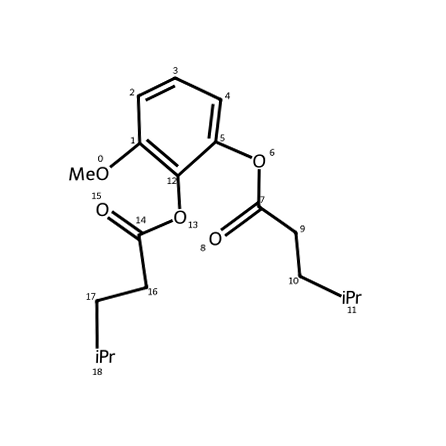 COc1cccc(OC(=O)CCC(C)C)c1OC(=O)CCC(C)C